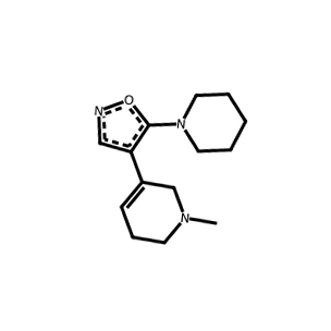 CN1CCC=C(c2cnoc2N2CCCCC2)C1